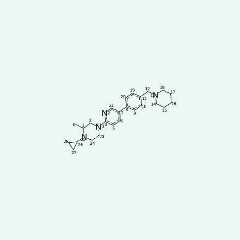 CC1CN(c2ccc(-c3ccc(CN4CCCCC4)cc3)cn2)CCN1C1CC1